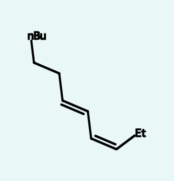 CC/C=C\C=C\CCCCCC